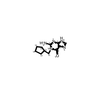 Nc1nc2[nH]cnc2c(=O)n1CC1CCCC1